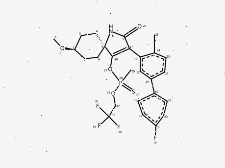 CO[C@H]1CC[C@]2(CC1)NC(=O)C(c1cc(-c3ccc(F)cc3)ccc1C)=C2OP(C)(=S)OCC(F)(F)F